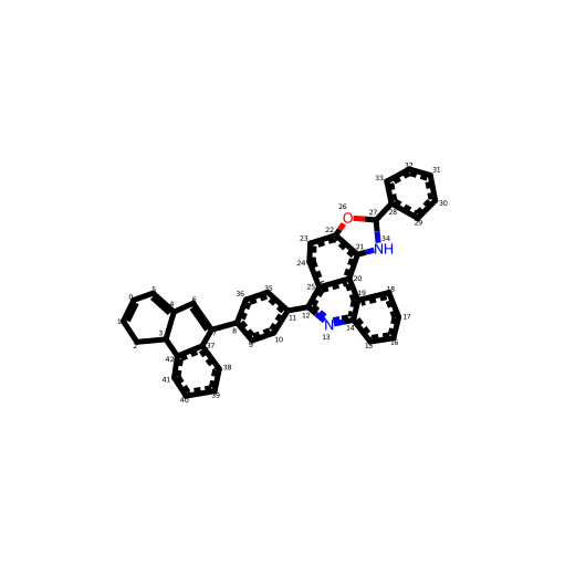 C1=CCC2C(=C1)C=C(c1ccc(-c3nc4ccccc4c4c5c(ccc34)OC(c3ccccc3)N5)cc1)c1ccccc12